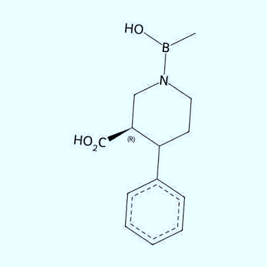 CB(O)N1CCC(c2ccccc2)[C@@H](C(=O)O)C1